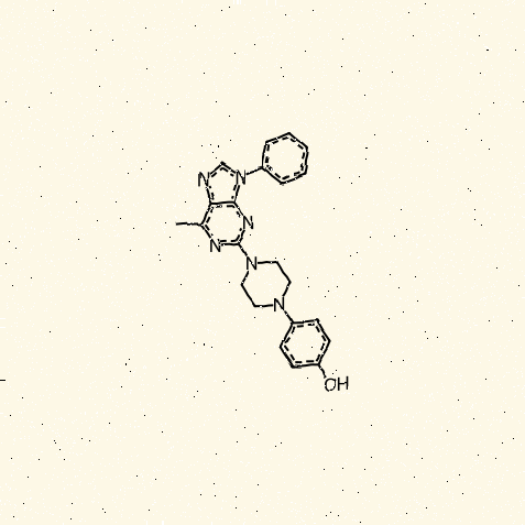 Cc1nc(N2CCN(c3ccc(O)cc3)CC2)nc2c1ncn2-c1ccccc1